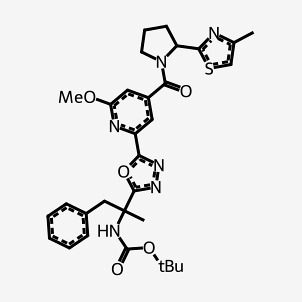 COc1cc(C(=O)N2CCCC2c2nc(C)cs2)cc(-c2nnc(C(C)(Cc3ccccc3)NC(=O)OC(C)(C)C)o2)n1